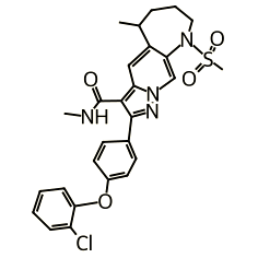 CNC(=O)c1c(-c2ccc(Oc3ccccc3Cl)cc2)nn2cc3c(cc12)C(C)CCCN3S(C)(=O)=O